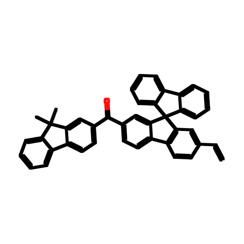 C=Cc1ccc2c(c1)C1(c3ccccc3-c3ccccc31)c1cc(C(=O)c3ccc4c(c3)C(C)(C)c3ccccc3-4)ccc1-2